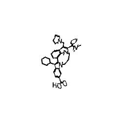 CN(C)C(=O)c1c(CN2CCCC2)c2cccc3c2n1CCCn1c-3c(C2CCCCC2)c2ccc(C(=O)O)cc21